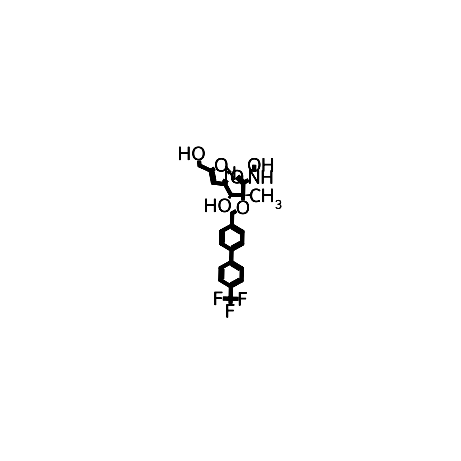 C[C@@](OCc1ccc(-c2ccc(C(F)(F)F)cc2)cc1)(C(=O)NO)[C@@H](O)c1cc(CO)on1